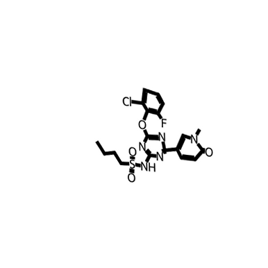 CCCCS(=O)(=O)Nc1nc(Oc2c(F)cccc2Cl)nc(-c2ccc(=O)n(C)c2)n1